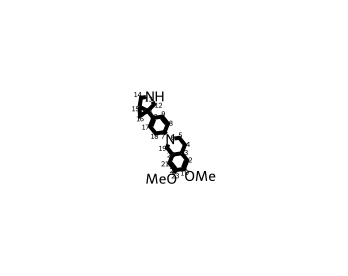 COC1=CC2CCN(C3C=CC(C45CNCC4C5)=CC3)CC2C=C1OC